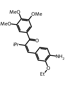 CCOc1cc(C=C(C(=O)c2cc(OC)c(OC)c(OC)c2)C(C)C)ccc1N